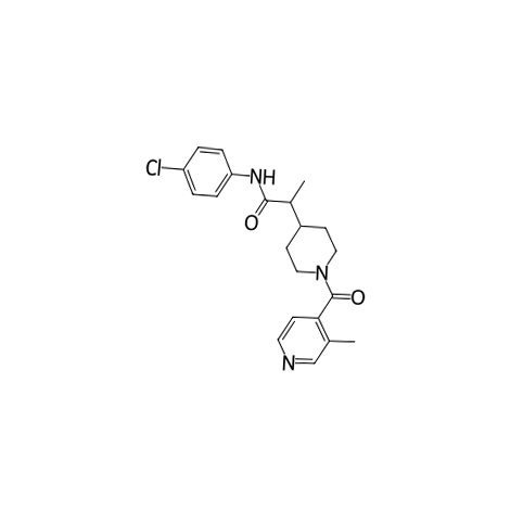 Cc1cnccc1C(=O)N1CCC(C(C)C(=O)Nc2ccc(Cl)cc2)CC1